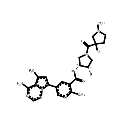 COc1ncc(-c2cc(C(F)(F)F)c3c(N)ncnn23)cc1C(=O)N[C@@H]1CN(C(=O)C2(C(F)(F)F)CCN(C(=O)O)C2)C[C@@H]1F